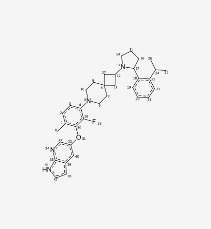 Cc1ccc(N2CCC3(CC2)CC(N2CCCC2c2ccccc2C(C)C)C3)c(F)c1Oc1cnc2[nH]ccc2c1